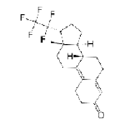 C[C@]12CCC3=C4CCC(=O)C=C4CC[C@H]3[C@@H]1CC[C@H]2C(F)(F)C(F)(F)F